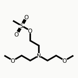 COCCN(CCOC)CCOS(C)(=O)=O